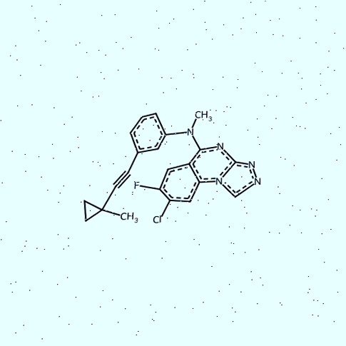 CN(c1cccc(C#CC2(C)CC2)c1)c1nc2nncn2c2cc(Cl)c(F)cc12